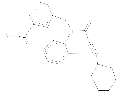 COC(=O)c1cccc(CN(C(=O)C#CC2CCCCC2)c2ccccc2I)c1